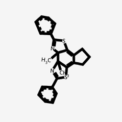 CC12N=C(c3ccccc3)SC1=C1CCCC1=C1SC(c3ccccc3)=NC12C